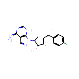 N/N=c1/nc[nH]c2c1cnn2C1C[C@H]([C@H](O)c2ccc(Cl)cc2)[C@@H](O)[C@H]1O